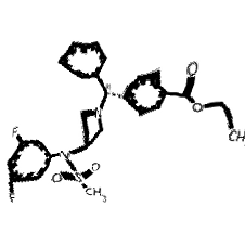 CCOC(=O)c1ccc([C@@H](c2ccccc2)N2CC(N(c3cc(F)cc(F)c3)S(C)(=O)=O)C2)cc1